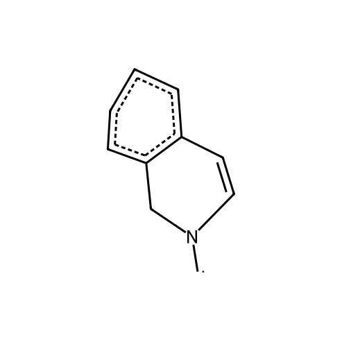 [CH2]N1C=Cc2ccccc2C1